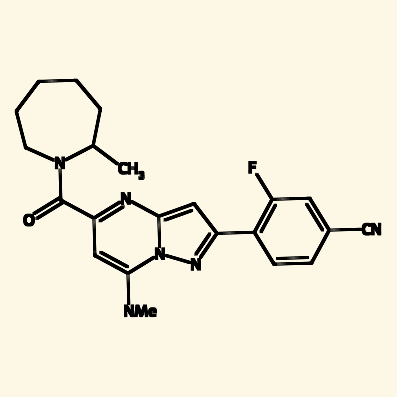 CNc1cc(C(=O)N2CCCCCC2C)nc2cc(-c3ccc(C#N)cc3F)nn12